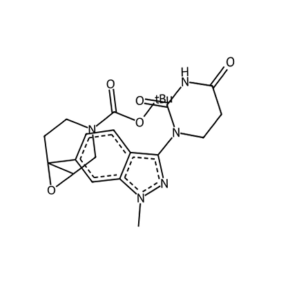 Cn1nc(N2CCC(=O)NC2=O)c2ccc(C34CCN(C(=O)OC(C)(C)C)CC3O4)cc21